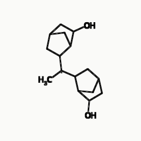 C[C](C1CC2CC(O)C1C2)C1CC2CC(O)C1C2